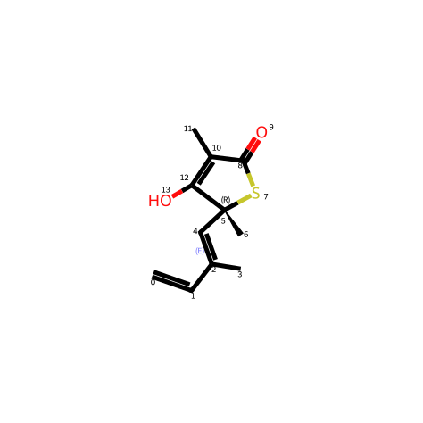 C=C/C(C)=C/[C@@]1(C)SC(=O)C(C)=C1O